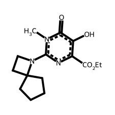 CCOC(=O)c1nc(N2CCC23CCCC3)n(C)c(=O)c1O